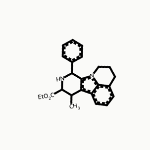 CCOC(=O)C1NC(c2ccccc2)c2c(c3cccc4c3n2CCC4)C1C